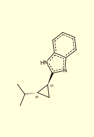 CC(C)[C@H]1C[C@@H]1c1nc2ccccc2[nH]1